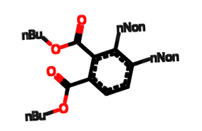 CCCCCCCCCc1ccc(C(=O)OCCCC)c(C(=O)OCCCC)c1CCCCCCCCC